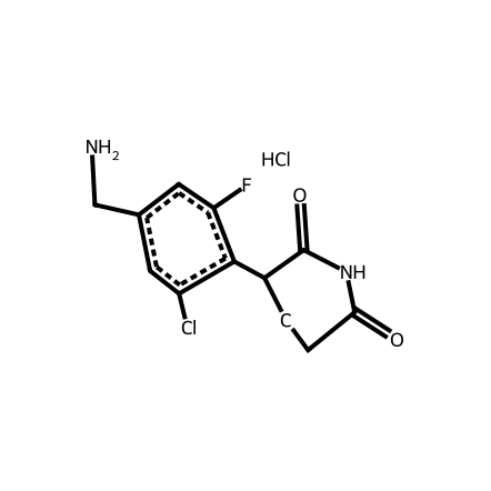 Cl.NCc1cc(F)c(C2CCC(=O)NC2=O)c(Cl)c1